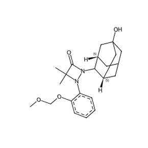 COCOc1ccccc1N1N(C2[C@H]3CC4C[C@H]2CC(O)(C4)C3)C(=O)C1(C)C